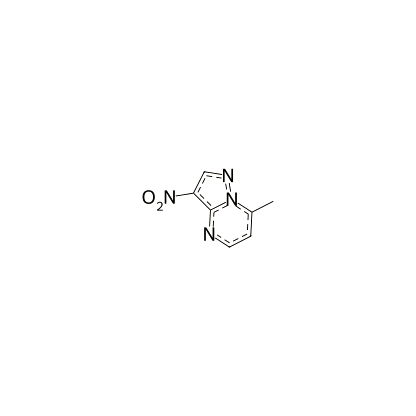 Cc1ccnc2c([N+](=O)[O-])cnn12